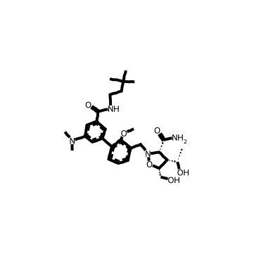 COc1c(CN2O[C@@H](CO)[C@@H]([C@H](C)O)[C@H]2C(N)=O)cccc1-c1cc(C(=O)NCCC(C)(C)C)cc(N(C)C)c1